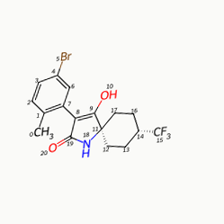 Cc1ccc(Br)cc1C1=C(O)[C@]2(CC[C@@H](C(F)(F)F)CC2)NC1=O